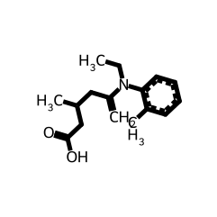 C=C(CC(C)CC(=O)O)N(CC)c1ccccc1C